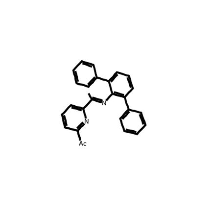 CC(=O)c1cccc(/C(C)=N/c2c(-c3ccccc3)cccc2-c2ccccc2)n1